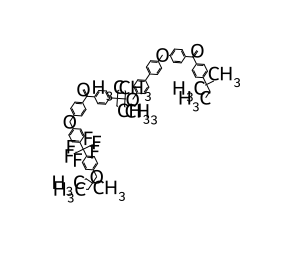 CCC(C)(CC)Oc1ccc(C(c2ccc(Oc3ccc(C(=O)c4ccc(C(CC)(CC)C(CC)(CC)Oc5ccc(-c6ccc(Oc7ccc(C(=O)c8ccc(C(C)(CC)CC)cc8)cc7)cc6)cc5)cc4)cc3)cc2)(C(F)(F)F)C(F)(F)F)cc1